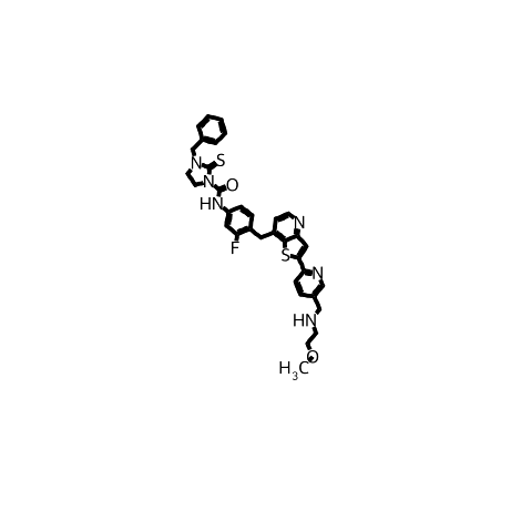 COCCNCc1ccc(-c2cc3nccc(Cc4ccc(NC(=O)N5CCN(Cc6ccccc6)C5=S)cc4F)c3s2)nc1